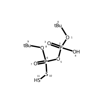 CC(C)(C)OP(=O)(O)OP(=O)(OC(C)(C)C)SS